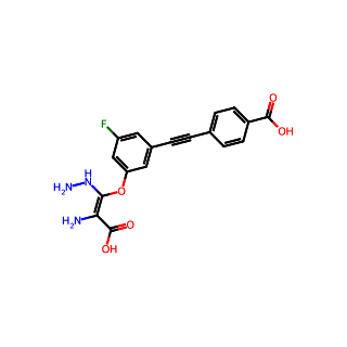 NN/C(Oc1cc(F)cc(C#Cc2ccc(C(=O)O)cc2)c1)=C(\N)C(=O)O